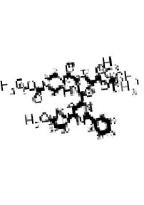 CCOC(=O)N1CCN(C(=O)[C@H](CCC(=O)OC(C)(C)C)NC(=O)c2cc(-n3ccc(C)n3)nc(-c3ccccc3)n2)CC1